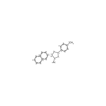 CC(=O)C1CC(c2ccc(C)cc2)C[C@H]1c1ccc2ccccc2c1